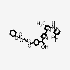 Cc1cc(Nc2cc(C(F)F)ccn2)nc(-c2ccc(C(CO)C3CCC(C(=O)OCCOC(=O)OC4CCCCC4)CC3)nc2)c1